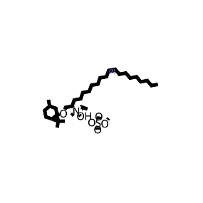 CCCCCCCC/C=C\CCCCCCCCC(COC12CC(C)CCC1C2(C)C)[N+](C)(O)CC.COS(=O)(=O)[O-]